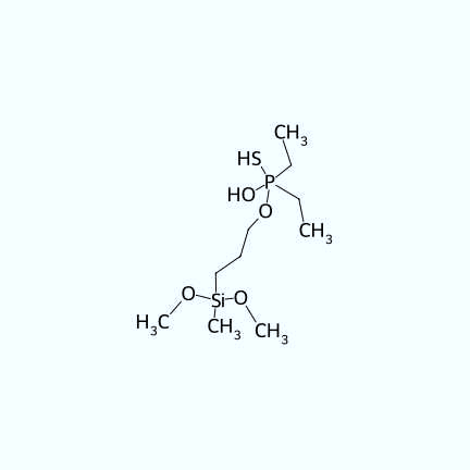 CCP(O)(S)(CC)OCCC[Si](C)(OC)OC